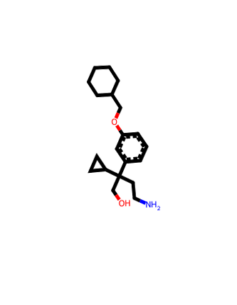 NCCC(CO)(c1cccc(OCC2CCCCC2)c1)C1CC1